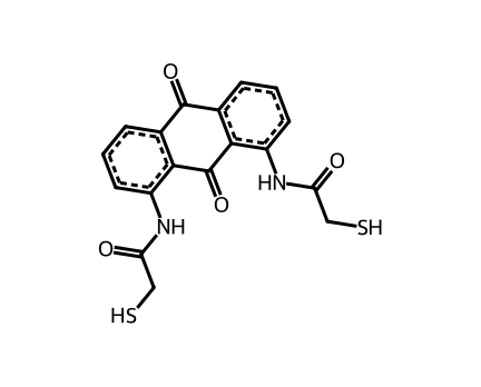 O=C(CS)Nc1cccc2c1C(=O)c1c(NC(=O)CS)cccc1C2=O